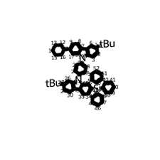 CC(C)(C)c1ccc2c(c1)c1ccc(C3CCCCC3)cc1n2-c1ccc(-n2c3cc(C(C)(C)C)ccc3c3ccc([Si](c4ccccc4)(c4ccccc4)c4ccccc4)cc32)cc1